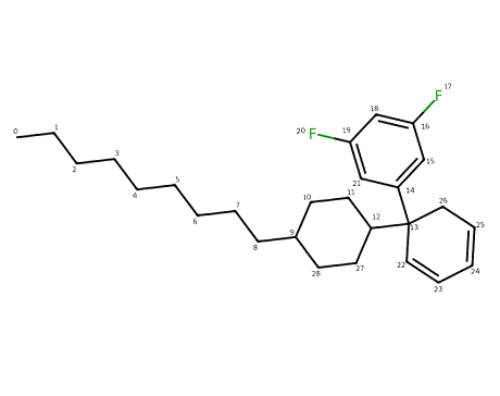 CCCCCCCCCC1CCC(C2(c3cc(F)cc(F)c3)C=CC=CC2)CC1